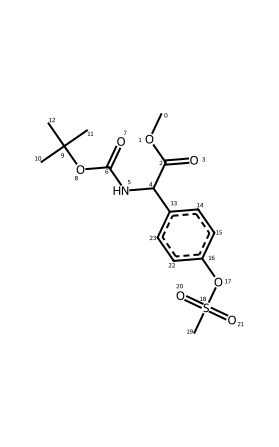 COC(=O)C(NC(=O)OC(C)(C)C)c1ccc(OS(C)(=O)=O)cc1